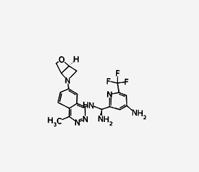 Cc1nnc(N[C@H](N)c2cc(N)cc(C(F)(F)F)n2)c2cc(N3C[C@@H]4OCC43)ccc12